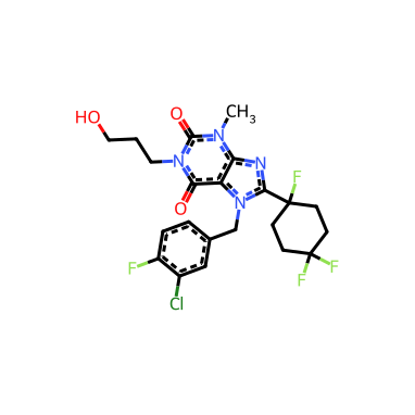 Cn1c(=O)n(CCCO)c(=O)c2c1nc(C1(F)CCC(F)(F)CC1)n2Cc1ccc(F)c(Cl)c1